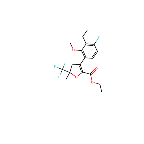 CCOC(=O)C1=C(c2ccc(F)c(CC)c2OC)CC(C)(C(F)(F)F)O1